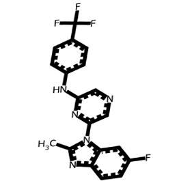 Cc1nc2ccc(F)cc2n1-c1cncc(Nc2ccc(C(F)(F)F)cc2)n1